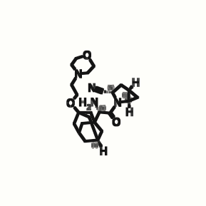 N#C[C@@H]1C[C@@H]2C[C@@H]2N1C(=O)[C@@H](N)C12CC3C[C@H](CC(OCCN4CCOCC4)(C3)C1)C2